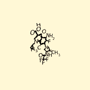 Cc1c(N2C[C@H](C)[C@H](NC(=O)C(F)(F)F)C2)c(F)c(N)c2c(=O)c(C(=O)O)cn(C3CC3)c12